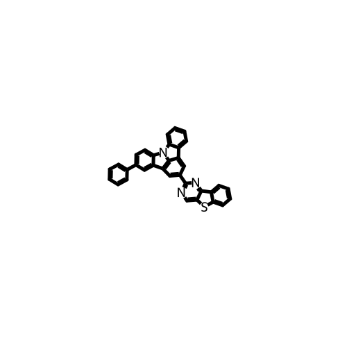 c1ccc(-c2ccc3c(c2)c2cc(-c4ncc5sc6ccccc6c5n4)cc4c5ccccc5n3c42)cc1